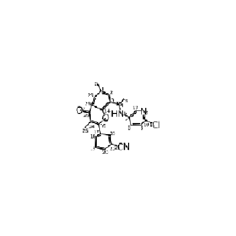 Cc1cc([C@@H](C)Nc2ccc(Cl)nc2)c2oc(-c3cccc(C#N)c3)c(C)c(=O)c2c1